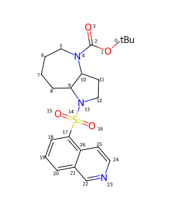 CC(C)(C)OC(=O)N1CCCCC2C1CCN2S(=O)(=O)c1cccc2cnccc12